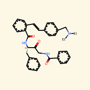 CCN(CC)Cc1ccc(C=Cc2ccccc2C(=O)N[C@@H](Cc2ccccc2)C(=O)CNC(=O)c2ccccc2)cc1